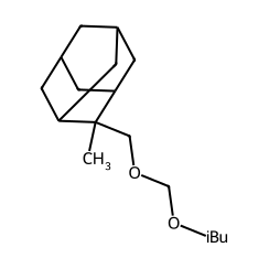 CCC(C)OCOCC1(C)C2CC3CC(C2)CC1C3